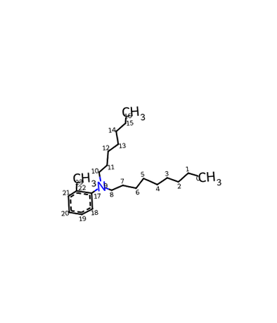 CCCCCCCCCN(CCCCCCC)c1ccccc1C